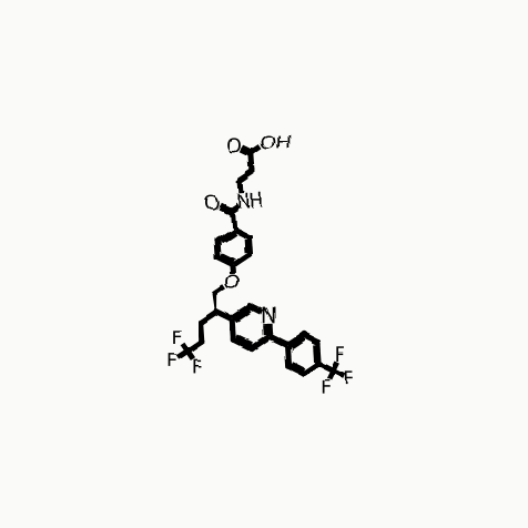 O=C(O)CCNC(=O)c1ccc(OC[C@H](CCC(F)(F)F)c2ccc(-c3ccc(C(F)(F)F)cc3)nc2)cc1